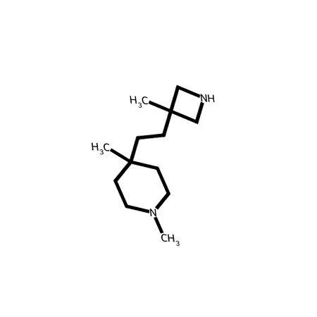 CN1CCC(C)(CCC2(C)CNC2)CC1